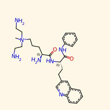 C[N+](CCN)(CCN)CCC[C@H](N)C(=O)N[C@@H](CCc1cnc2ccccc2c1)C(=O)Nc1ccccc1